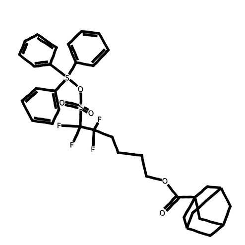 O=C(OCCCCC(F)(F)C(F)(F)S(=O)(=O)OS(c1ccccc1)(c1ccccc1)c1ccccc1)C12CC3CC(CC(C3)C1)C2